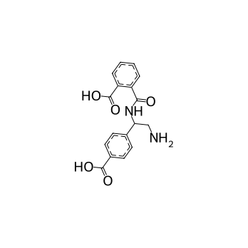 NCC(NC(=O)c1ccccc1C(=O)O)c1ccc(C(=O)O)cc1